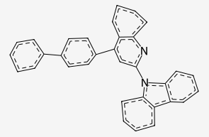 c1ccc(-c2ccc(-c3cc(-n4c5ccccc5c5ccccc54)nc4ccccc34)cc2)cc1